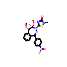 CO[C@H]1c2ccccc2C(c2ccc([N+](=O)[O-])cc2)=NN(c2nc(=O)n(C)s2)[C@]1(C)OC